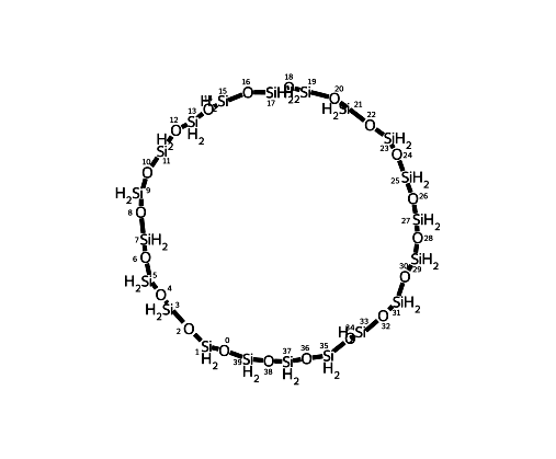 O1[SiH2]O[SiH2]O[SiH2]O[SiH2]O[SiH2]O[SiH2]O[SiH2]O[SiH2]O[SiH2]O[SiH2]O[SiH2]O[SiH2]O[SiH2]O[SiH2]O[SiH2]O[SiH2]O[SiH2]O[SiH2]O[SiH2]O[SiH2]1